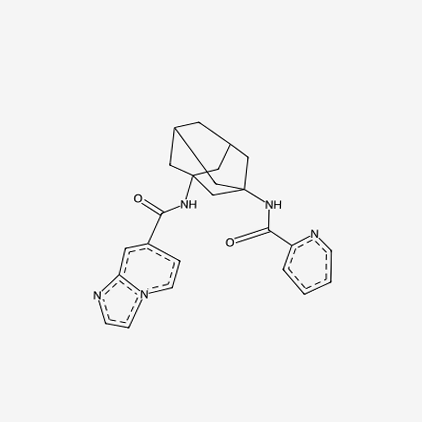 O=C(NC12CC3CC(C1)CC(NC(=O)c1ccccn1)(C3)C2)c1ccn2ccnc2c1